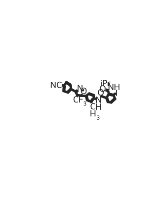 Cc1cc(C2(C(F)(F)F)CC(c3ccc(C#N)cc3)=NO2)ccc1NC(=O)c1cccc(I)c1C(=O)NC(C)C